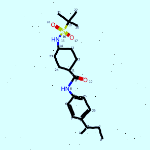 CCC(C)c1ccc(NC(=O)C2CCC(NS(=O)(=O)C(C)(C)C)CC2)cc1